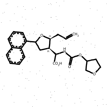 C=CC[C@@H]1OC(c2cccc3ccccc23)C[C@@H]1C(NC(=O)OC1CCOC1)C(=O)O